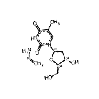 C=NN.Cc1cn([C@H]2C[C@H](O)[C@@H](CO)O2)c(=O)[nH]c1=O